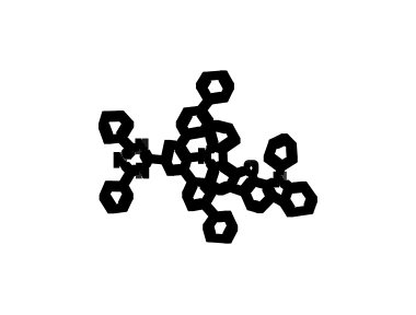 c1ccc(-c2ccc(-c3cc(-c4nc(-c5ccccc5)nc(-c5ccccc5)n4)cc(-c4ccc(-c5ccccc5)cc4)c3-n3c4ccccc4c4c5oc6c(ccc7c8ccccc8n(-c8ccccc8)c76)c5ccc43)cc2)cc1